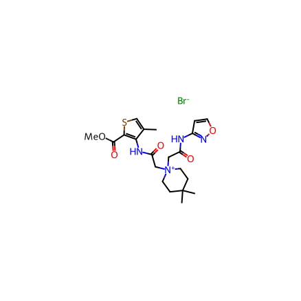 COC(=O)c1scc(C)c1NC(=O)C[N+]1(CC(=O)Nc2ccon2)CCC(C)(C)CC1.[Br-]